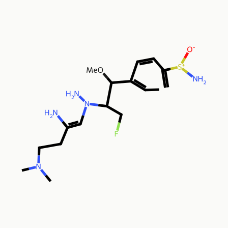 C=C(/C=C\C(=C/C)C(OC)C(CF)N(N)/C=C(\N)CCN(C)C)[S+](N)[O-]